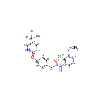 CCc1nccc(NC(=O)Cc2ccc(Oc3ccc(C(F)(F)F)cn3)cc2)c1Cl